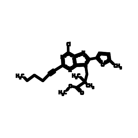 CCCCC#Cc1nc(Cl)c2nc(-c3ccc(C)o3)n(CC(C)(C)C(=O)OC)c2n1